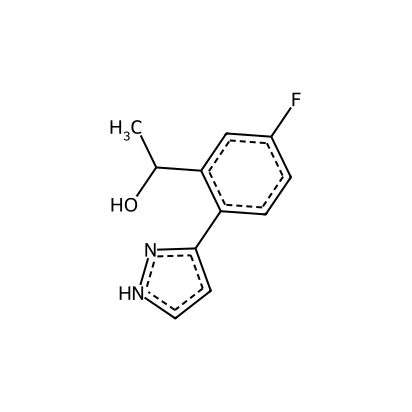 CC(O)c1cc(F)ccc1-c1cc[nH]n1